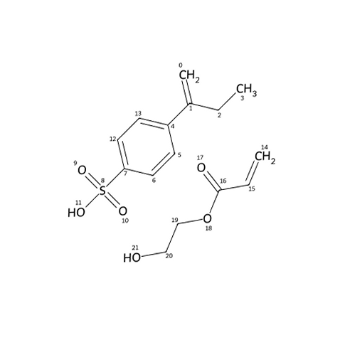 C=C(CC)c1ccc(S(=O)(=O)O)cc1.C=CC(=O)OCCO